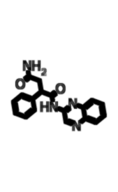 NC(=O)CC(C(=O)Nc1cnc2ccccc2n1)c1ccccc1